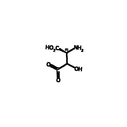 N[C@H](C(=O)O)C(O)P(=O)=O